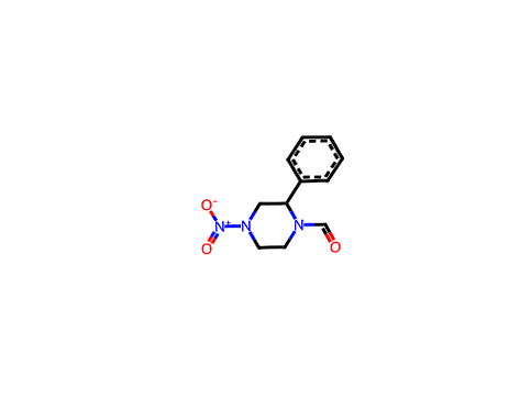 O=CN1CCN([N+](=O)[O-])CC1c1ccccc1